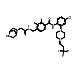 O=C(CN1CC2CC1CN2)NCc1ccc(C(=O)Nc2ccc(Cl)cc2N2CCN(CCC(F)(F)F)CC2)c(F)c1F